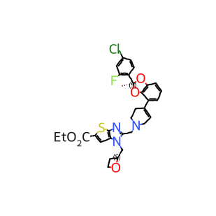 CCOC(=O)c1cc2c(nc(CN3CC=C(c4cccc5c4O[C@@](C)(c4ccc(Cl)cc4F)O5)CC3)n2C[C@@H]2CCO2)s1